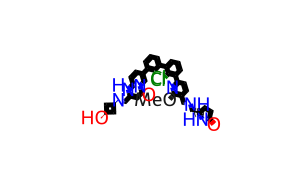 COc1nc(-c2cccc(-c3cccc(-c4ccc5nc(CN[C@H]6C[C@@H](O)C6)cc(=O)n5c4)c3Cl)c2Cl)ccc1CNC[C@H]1CCC(=O)N1